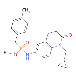 CCOP(=O)(Cc1ccc(C)cc1)Nc1ccc2c(c1)CCC(=O)N2CC1CC1